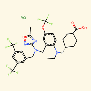 CCN(C[C@H]1CC[C@H](C(=O)O)CC1)c1ccc(OC(F)(F)F)cc1CN(Cc1cc(C(F)(F)F)cc(C(F)(F)F)c1)c1noc(C)n1.Cl